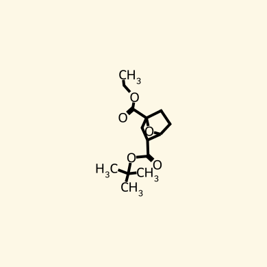 CCOC(=O)C12CCC(O1)C(C(=O)OC(C)(C)C)C2